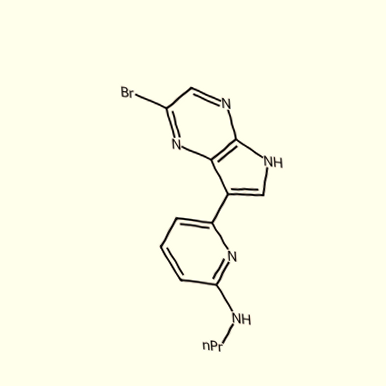 CCCNc1cccc(-c2c[nH]c3ncc(Br)nc23)n1